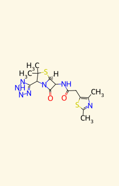 Cc1nc(C)c(CC(=O)NC2C(=O)N3C(c4nnn[nH]4)C(C)(C)S[C@@H]23)s1